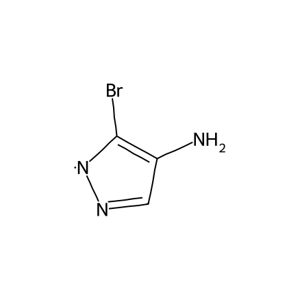 NC1=C(Br)[N]N=C1